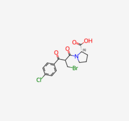 O=C(c1ccc(Cl)cc1)C(CBr)C(=O)N1CCC[C@H]1C(=O)O